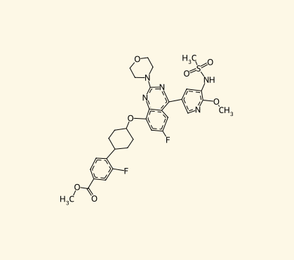 COC(=O)c1ccc(C2CCC(Oc3cc(F)cc4c(-c5cnc(OC)c(NS(C)(=O)=O)c5)nc(N5CCOCC5)nc34)CC2)c(F)c1